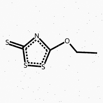 CCOc1nc(=S)ss1